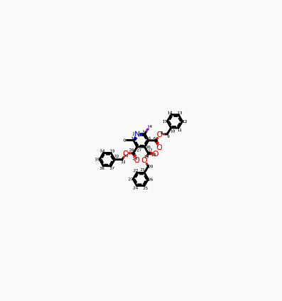 Cc1nc(I)c(C(=O)OCc2ccccc2)c(C(=O)OCc2ccccc2)c1C(=O)OCc1ccccc1